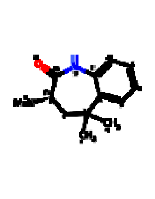 CN[C@H]1CC(C)(C)c2ccccc2NC1=O